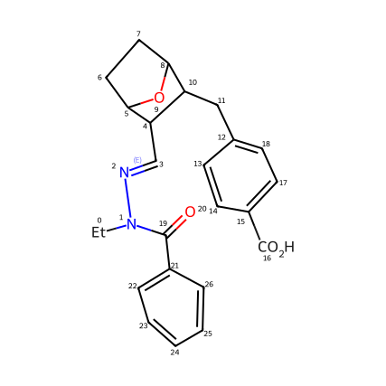 CCN(/N=C/C1C2CCC(O2)C1Cc1ccc(C(=O)O)cc1)C(=O)c1ccccc1